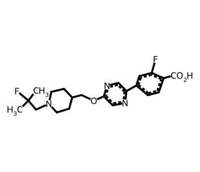 CC(C)(F)CN1CCC(COc2cnc(-c3ccc(C(=O)O)c(F)c3)cn2)CC1